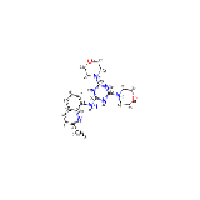 Cc1ccc2cccc(Nc3nc(N4CCOCC4)nc(N4CCOCC4)n3)c2n1